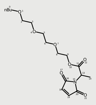 CCCCOCCOCCOCCOC(=O)C(C)N1C(=O)C=CC1=O